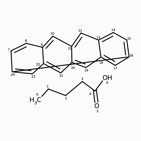 CCCCC(=O)O.c1cc2cc3cc4ccc5cc4cc3cc2cc1-5